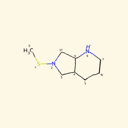 CSN1CC2CCCNC2C1